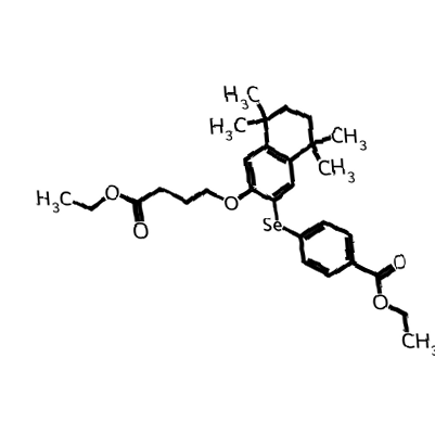 CCOC(=O)CCCOc1cc2c(cc1[Se]c1ccc(C(=O)OCC)cc1)C(C)(C)CCC2(C)C